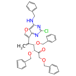 C=C(c1coc2c(NCc3ccccc3)nc(Cl)nc12)[C@H](OCc1ccccc1)[C@@H](OCc1ccccc1)C(=O)COCc1ccccc1